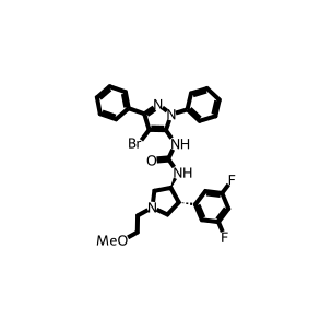 COCCN1C[C@@H](NC(=O)Nc2c(Br)c(-c3ccccc3)nn2-c2ccccc2)[C@H](c2cc(F)cc(F)c2)C1